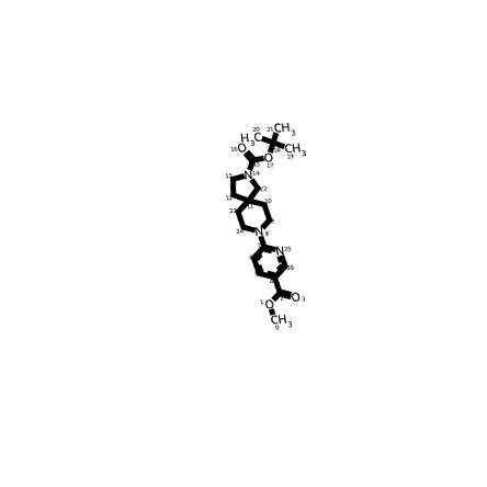 COC(=O)c1ccc(N2CCC3(CCN(C(=O)OC(C)(C)C)C3)CC2)nc1